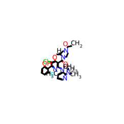 C=CC(=O)N1CCN2C(=O)c3c(N(C)c4c(C)ccnc4N(C)C)nc(-c4c(O)cccc4F)c(Cl)c3OC[C@H]2C1